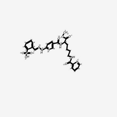 COC(=O)C(CCCCNC(=O)c1ccccn1)NC(=O)c1ccc(NN=Cc2ccccc2S(=O)(=O)O)nc1